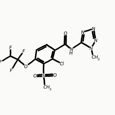 Cn1nnnc1NC(=O)c1ccc(OC(F)(F)C(F)F)c(S(C)(=O)=O)c1Cl